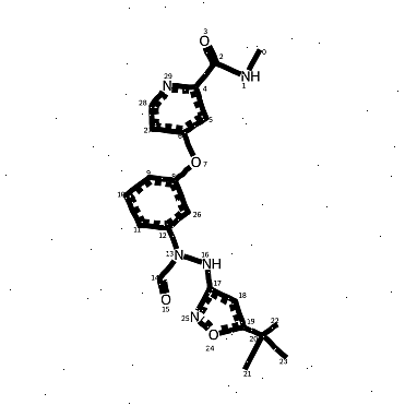 CNC(=O)c1cc(Oc2cccc(N(C=O)Nc3cc(C(C)(C)C)on3)c2)ccn1